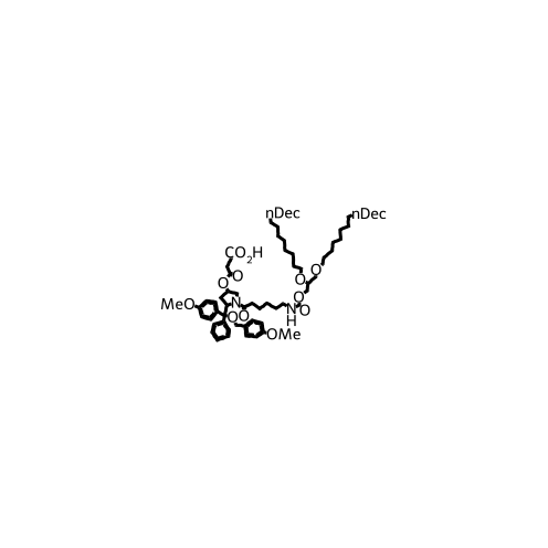 CCCCCCCCCCCCCCCCCCOCC(COC(=O)NCCCCCC(=O)N1CC(OC(=O)CCC(=O)O)CC1C(OCc1ccc(OC)cc1)(c1ccccc1)c1ccc(OC)cc1)OCCCCCCCCCCCCCCCCCC